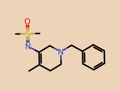 CC1=C(N=S(C)(C)=O)CN(Cc2ccccc2)CC1